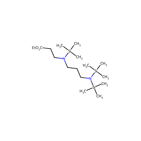 CCOC(=O)CCN(CCCN([Si](C)(C)C)[Si](C)(C)C)[Si](C)(C)C